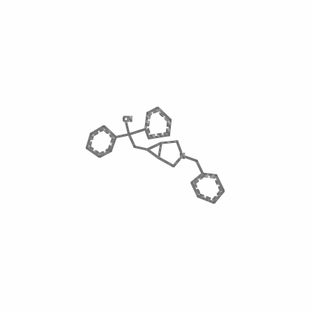 N#CC(CC1C2CN(Cc3ccccc3)CC21)(c1ccccc1)c1ccccc1